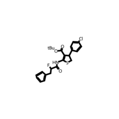 CC(C)(C)OC(=O)C1=C(NC(=O)C(F)Cc2ccccc2)SCC1c1ccc(Cl)cc1